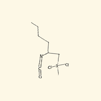 CCCCC(C[Si](C)(Cl)Cl)N=C=O